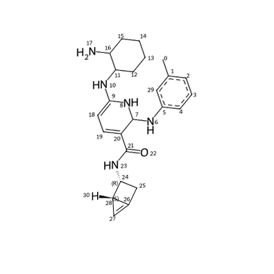 Cc1cccc(NC2NC(NC3CCCCC3N)=CC=C2C(=O)N[C@@H]2CC3=C[C@@H]32)c1